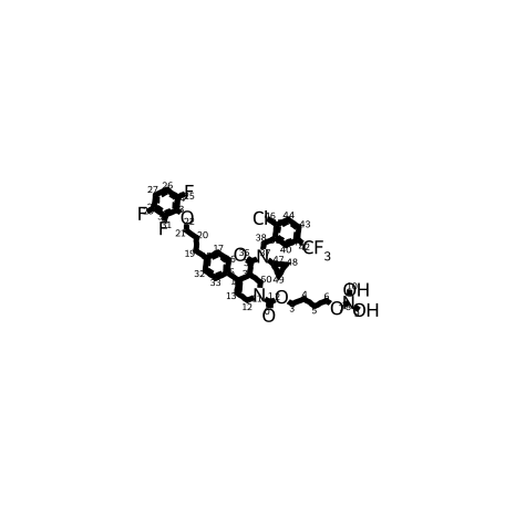 O=C(OCCCCON(O)O)N1CC=C(c2ccc(CCCOc3c(F)ccc(F)c3F)cc2)C(C(=O)N(Cc2cc(C(F)(F)F)ccc2Cl)C2CC2)C1